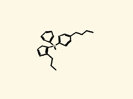 CCCCc1ccc([Si](C)(C2=C(CCC)C=CC2)c2ccccc2)cc1